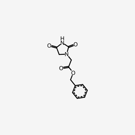 O=C1CN(CC(=O)OCc2ccccc2)C(=O)N1